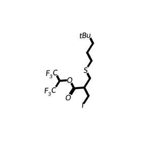 CC(C)(C)CCCSCC(CI)C(=O)OC(C(F)(F)F)C(F)(F)F